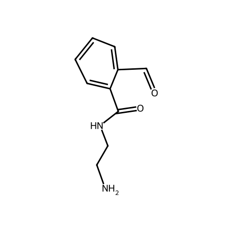 NCCNC(=O)c1ccccc1C=O